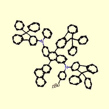 CC(C)(C)c1ccc(N(c2ccc3c(c2)C(c2ccccc2)(c2ccccc2)c2ccccc2-3)c2ccc3c(-c4ccc5c(c4)C(c4ccccc4)(c4ccccc4)c4ccccc4-5)c4cc(N(c5ccccc5)c5ccc6c(c5)C(c5ccccc5)(c5ccccc5)c5ccccc5-6)ccc4c(-c4ccc5c(ccc6ccccc65)c4)c3c2)cc1